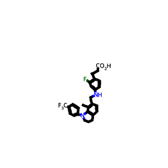 Cc1c(CNc2ccc(CCC(=O)O)c(F)c2)ccc2c1N(c1ccc(C(F)(F)F)cc1)CCC2